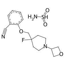 N#Cc1ccccc1OCC1(F)CCN(C2COC2)CC1.N[SH](=O)=O